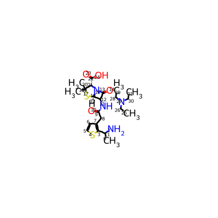 CC(N)c1sccc1CC(=O)NC1C(=O)N2[C@@H]1SC(C)(C)[C@@H]2C(=O)O.CCN(CC)CC